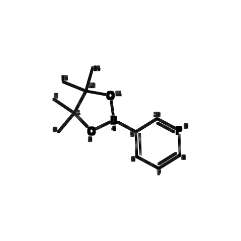 CC1(C)OB(c2cccpc2)OC1(C)C